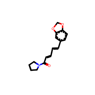 O=C(/C=C/C=Cc1ccc2c(c1)OCO2)N1CCCC1